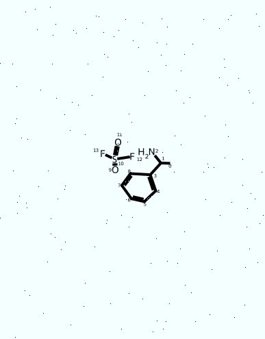 CC(N)c1ccccc1.O=S(=O)(F)F